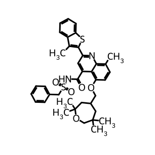 Cc1c(-c2cc(C(=O)NS(=O)(=O)Cc3ccccc3)c3c(OCC4CC(C)(C)COC(C)(C)C4)ccc(C)c3n2)sc2ccccc12